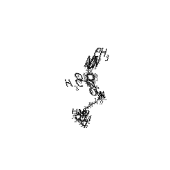 CC(=O)c1cn(CC(=O)N2N=CCC2CCCCCC(=O)Nc2cccc(-c3ccccc3Cl)c2F)c2ccc(-c3cnc(C)nc3)cc12